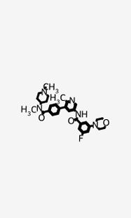 Cc1ncc(NC(=O)c2cc(F)cc(N3CCOCC3)c2)cc1-c1ccc(C(=O)N(C)C2CCN(C)CC2)cc1